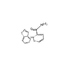 NC(=O)C1=CC=CSN1.c1ccc2sccc2c1